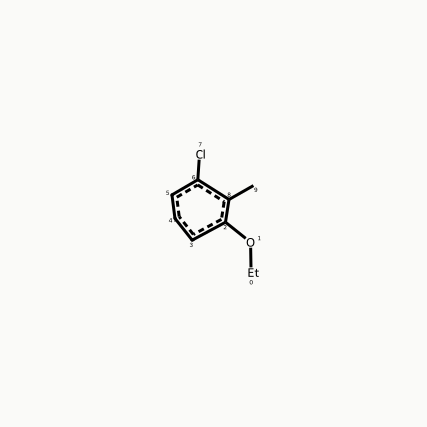 CCOc1c[c]cc(Cl)c1C